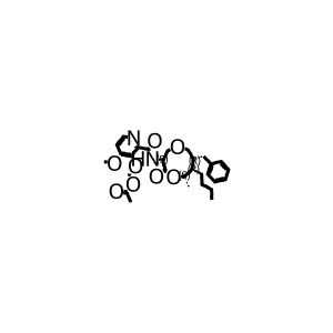 CCCC[C@@H]1[C@@H](Cc2ccccc2)COC[C@H](NC(=O)c2nccc(OC)c2OCOC(C)=O)C(=O)O[C@H]1C